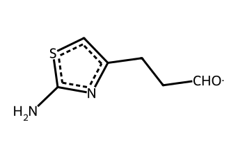 Nc1nc(CC[C]=O)cs1